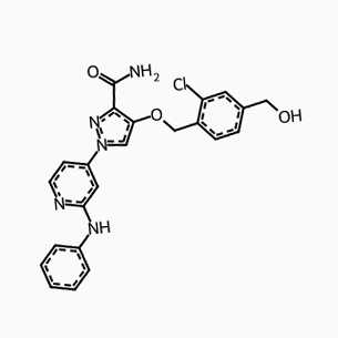 NC(=O)c1nn(-c2ccnc(Nc3ccccc3)c2)cc1OCc1ccc(CO)cc1Cl